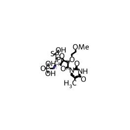 COCCO[C@@H]1C(OP(O)(=S)C(C)C)[C@@H](/C=C/P(=O)(O)O)O[C@H]1n1cc(C)c(=O)[nH]c1=O